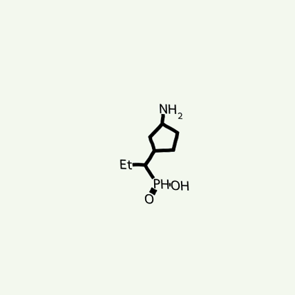 CCC(C1CCC(N)C1)[PH](=O)O